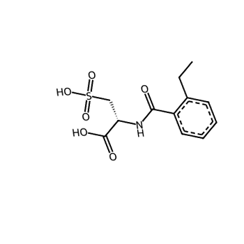 CCc1ccccc1C(=O)N[C@@H](CS(=O)(=O)O)C(=O)O